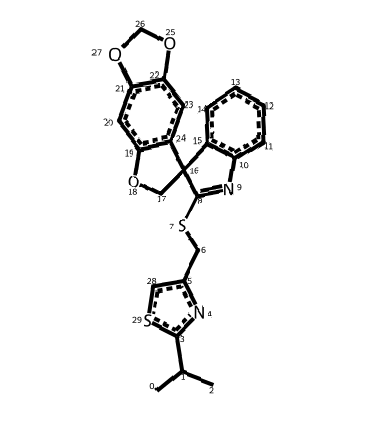 CC(C)c1nc(CSC2=Nc3ccccc3C23COc2cc4c(cc23)OCO4)cs1